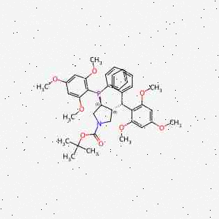 COc1cc(OC)c(C(c2ccccc2)[C@@H]2CN(C(=O)OC(C)(C)C)C[C@H]2P(c2ccccc2)c2c(OC)cc(OC)cc2OC)c(OC)c1